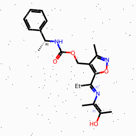 CC/C(=N\C(C)=C(/C)O)c1onc(C)c1COC(=O)N[C@H](C)c1ccccc1